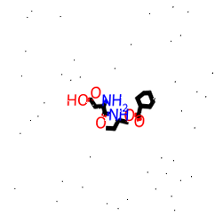 CCC(COC(=O)C1CCCCC1)NC(=O)C(N)CC(=O)O